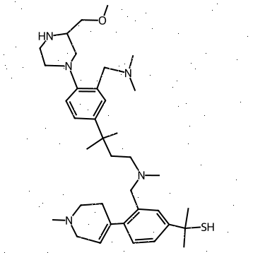 COCC1CN(c2ccc(C(C)(C)CCN(C)Cc3cc(C(C)(C)S)ccc3C3=CCN(C)CC3)cc2CN(C)C)CCN1